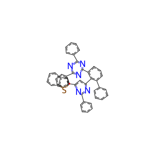 c1ccc(-c2nc(-c3cc4ccccc4s3)cc(-c3c(-c4ccccc4)cccc3-c3nc(-c4ccccc4)nc(-c4ccccc4)n3)n2)cc1